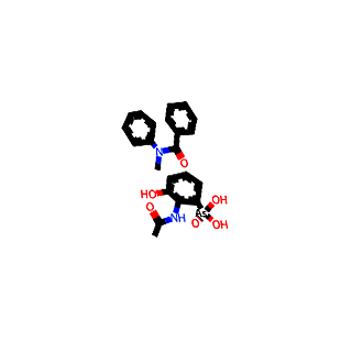 CC(=O)Nc1c(O)cccc1[As](=O)(O)O.CN(C(=O)c1ccccc1)c1ccccc1